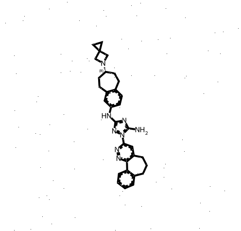 Nc1nc(Nc2ccc3c(c2)CC[C@H](N2CC4(CC4)C2)CC3)nn1-c1cc2c(nn1)-c1ccccc1CCC2